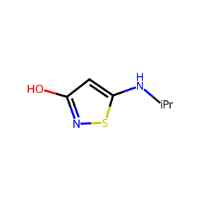 CC(C)Nc1cc(O)ns1